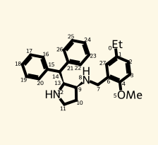 CCc1ccc(OC)c(CN[C@H]2CCN[C@H]2C(c2ccccc2)c2ccccc2)c1